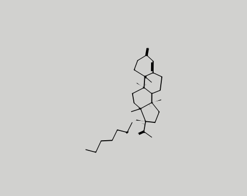 CCCCCC(=O)O[C@]1(C(C)=O)CC[C@@]2(C)C3CCC4=CC(=O)CCC4(C)[C@H]3CCC12C